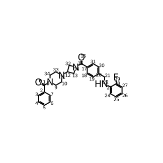 O=C(c1ccccc1)N1CCN(C2CN(C(=O)c3ccc(CNc4ccccc4F)cc3)C2)CC1